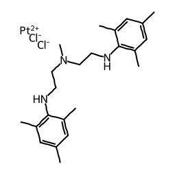 Cc1cc(C)c(NCCN(C)CCNc2c(C)cc(C)cc2C)c(C)c1.[Cl-].[Cl-].[Pt+2]